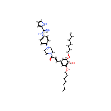 CCCCCCCOc1cc(C=CC(=O)N2CCN(c3ccc(NC(=N)c4ccc[nH]4)cc3)CC2)cc(OCCCCCCC)c1O